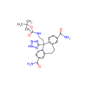 CC(C)(C)OC(=O)NCCC1(c2nn[nH]n2)c2ccc(C(N)=O)cc2CCc2cc(C(N)=O)ccc21